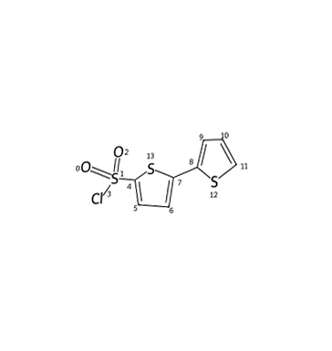 O=S(=O)(Cl)c1ccc(-c2cccs2)s1